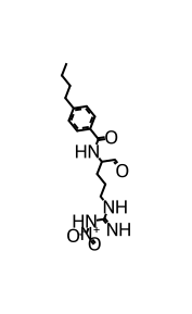 CCCCc1ccc(C(=O)NC(C=O)CCCNC(=N)N[N+](=O)[O-])cc1